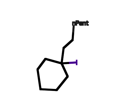 CCCCCCCC1(I)CCCCC1